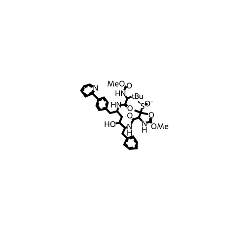 COC(=O)NC(C(=O)NC(Cc1ccc(-c2ccccn2)cc1)CC(O)C(Cc1ccccc1)NC(=O)C(NC(=O)OC)C(C)(C)[S@@+](C)[O-])C(C)(C)C